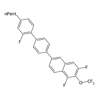 CCCCCc1ccc(-c2ccc(-c3ccc4c(F)c(OC(F)(F)F)c(F)cc4c3)cc2)c(F)c1